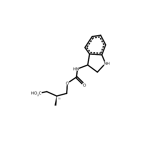 C[C@H](COC(=O)NC1CNc2ccccc21)CC(=O)O